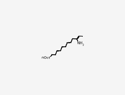 CC=C(N)CCCCCCCCCCCCCCCCC